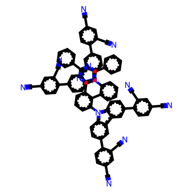 N#Cc1ccc(-c2ccc3c(c2)c2cc(-c4ccc(C#N)cc4C#N)ccc2n3-c2ccccc2-c2c(-c3cc(-c4ccccc4)nc(-c4ccccc4)n3)cccc2-n2c3ccc(-c4ccc(C#N)cc4C#N)cc3c3cc(-c4ccc(C#N)cc4C#N)ccc32)c(C#N)c1